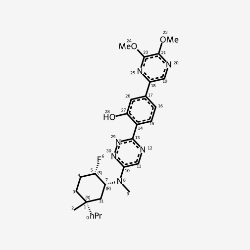 CCC[C@]1(C)CC[C@H](F)[C@H](N(C)c2cnc(-c3ccc(-c4cnc(OC)c(OC)n4)cc3O)nn2)C1